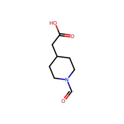 O=[C]N1CCC(CC(=O)O)CC1